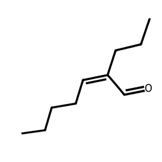 CCCC/C=C(\C=O)CCC